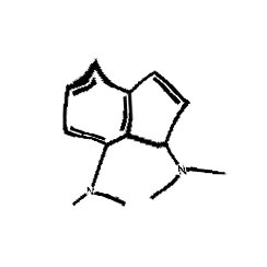 CN(C)c1cccc2c1C(N(C)C)C=C2